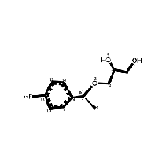 C[C@H](OCC(O)CO)c1ccc(F)cc1